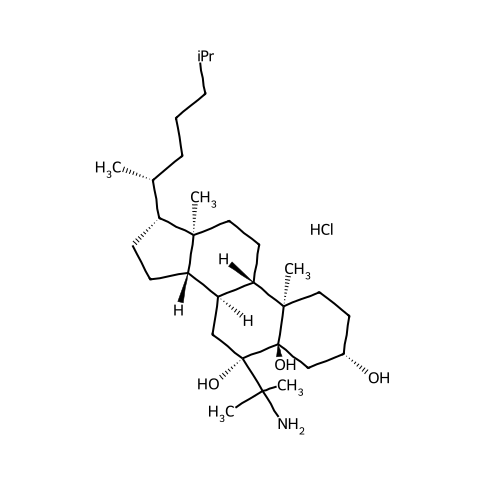 CC(C)CCC[C@@H](C)[C@H]1CC[C@H]2[C@@H]3C[C@](O)(C(C)(C)N)[C@@]4(O)C[C@@H](O)CC[C@]4(C)[C@H]3CC[C@]12C.Cl